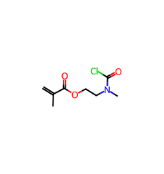 C=C(C)C(=O)OCCN(C)C(=O)Cl